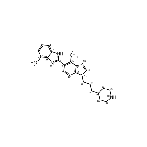 Cc1cccc2[nH]c(-c3ccc4c(ncn4CCCC4CCNCC4)c3C)nc12